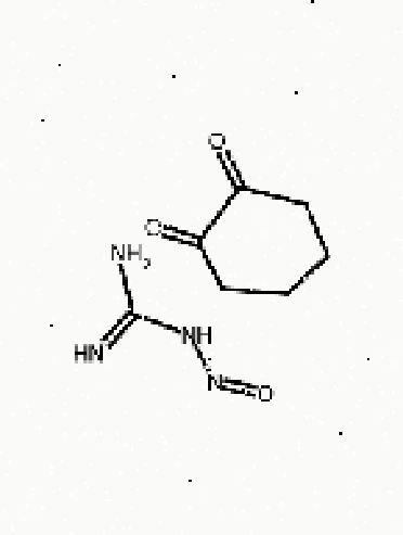 N=C(N)NN=O.O=C1CCCCC1=O